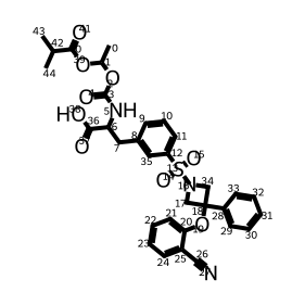 CC(OC(=O)NC(Cc1cccc(S(=O)(=O)N2CC(Oc3ccccc3C#N)(c3ccccc3)C2)c1)C(=O)O)OC(=O)C(C)C